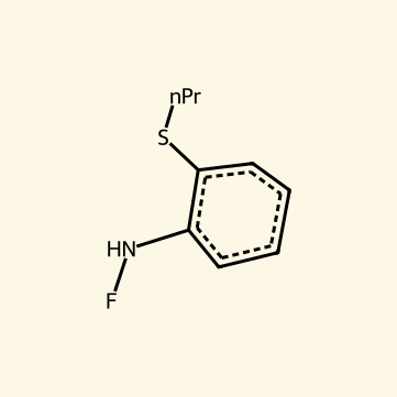 CCCSc1ccccc1NF